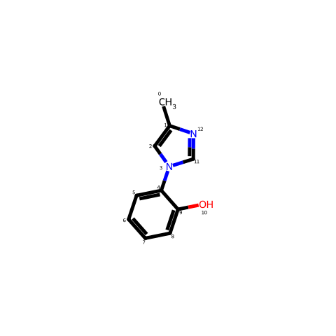 Cc1cn(-c2ccccc2O)cn1